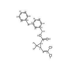 CC1(C)C(C=C(Cl)Cl)C1C(=O)OCc1cccc(Cc2ccccc2)c1